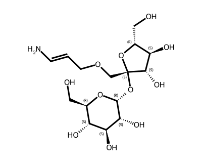 NC=CCOC[C@@]1(O[C@H]2O[C@H](CO)[C@@H](O)[C@H](O)[C@H]2O)O[C@H](CO)[C@@H](O)[C@@H]1O